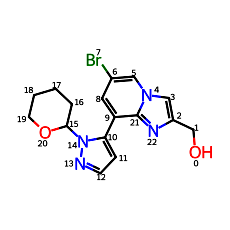 OCc1cn2cc(Br)cc(-c3ccnn3C3CCCCO3)c2n1